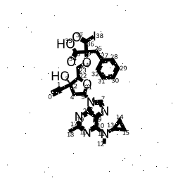 C#C[C@]1(O)CC(n2cnc3c(N(C)C4CC4)nc(C)nc32)OC1COC(Cc1ccccc1)(C(=O)O)C(=O)I